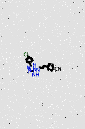 CN(N=Cc1ccc(Cl)cc1)C(=N)NN=CC=Cc1ccc(C#N)cc1